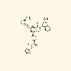 CN1CCC[C@H]1COc1nc(N2CCN(C(=O)/C(F)=C/c3nccs3)CC2)c2ccc(-c3cc(O)cc4ccccc34)c(F)c2n1